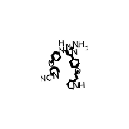 N#Cc1cc(Oc2ccc(Nc3cc(-c4ccc(OCCC5CCCCN5)cc4)nc(N)n3)cc2)ccn1